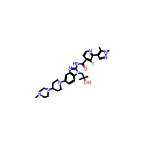 Cc1c(-c2nccc(C(=O)Nc3nc4cc(N5CCC(N6CCN(C)CC6)CC5)ccc4n3CC(C)(C)O)c2F)cnn1C